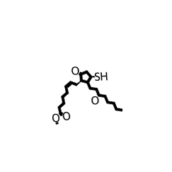 CCCCCC(=O)CCC1[C@H](S)CC(=O)[C@@H]1C/C=C\CCCCC(=O)OC